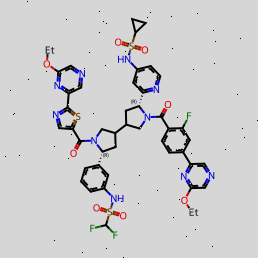 CCOc1cncc(-c2ccc(C(=O)N3CC(C4C[C@H](c5cccc(NS(=O)(=O)C(F)F)c5)N(C(=O)c5cnc(-c6cncc(OCC)n6)s5)C4)C[C@@H]3c3cc(NS(=O)(=O)C4CC4)ccn3)c(F)c2)n1